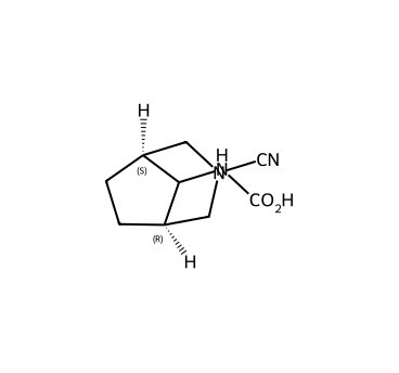 N#CN1C[C@H]2CC[C@@H](C1)C2NC(=O)O